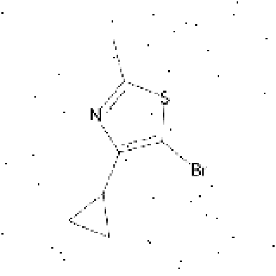 Cc1nc(C2CC2)c(Br)s1